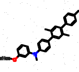 CCCCCCOc1cccc(N(C)c2ccc(-c3cc(C)c(-c4ccc(C)cc4)cc3C)cc2)c1